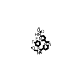 COCc1nnc(-c2ccc3ncc(-c4ccc(NC(=O)OC)nc4)n3c2)n1-c1ccc(F)c(F)c1